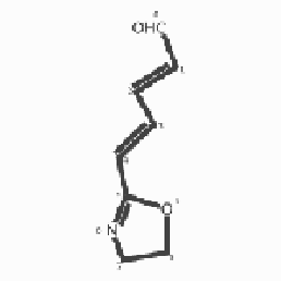 O=CC=CC=CC1=NCCO1